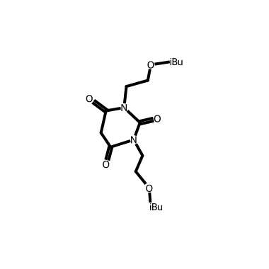 CCC(C)OCCN1C(=O)CC(=O)N(CCOC(C)CC)C1=O